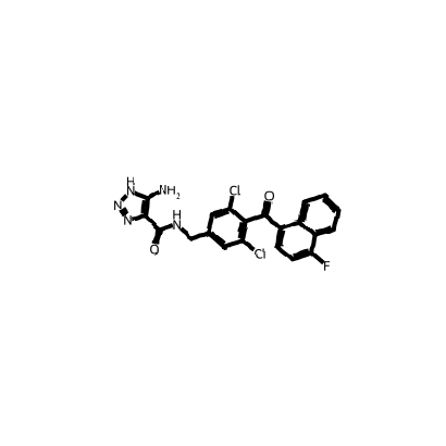 Nc1[nH]nnc1C(=O)NCc1cc(Cl)c(C(=O)c2ccc(F)c3ccccc23)c(Cl)c1